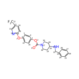 O=C(Oc1ccc(Oc2ccc(C(F)(F)F)cn2)cc1)N1CCC(NCc2ccccc2)CC1